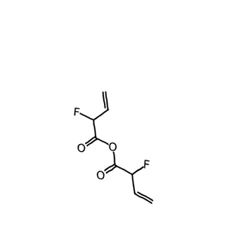 C=CC(F)C(=O)OC(=O)C(F)C=C